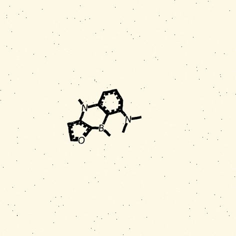 CB1c2occc2N(C)c2cccc(N(C)C)c21